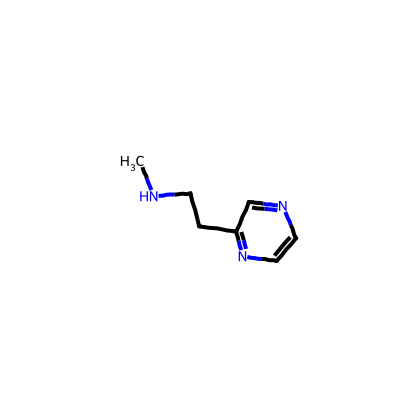 CNCCc1cnccn1